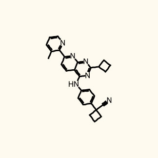 Cc1cccnc1-c1ccc2c(Nc3ccc(C4(C#N)CCC4)cc3)nc(C3CCC3)nc2n1